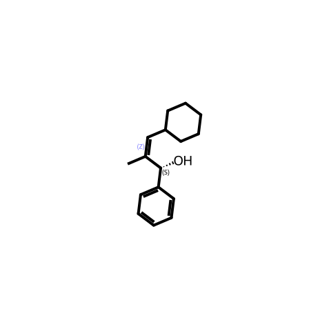 C/C(=C/C1CCCCC1)[C@H](O)c1ccccc1